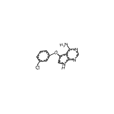 Nc1ncnc2[nH]cc(Oc3cccc(Cl)c3)c12